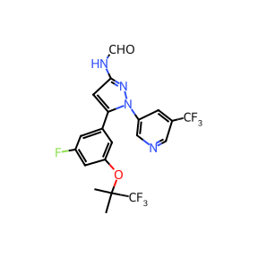 CC(C)(Oc1cc(F)cc(-c2cc(NC=O)nn2-c2cncc(C(F)(F)F)c2)c1)C(F)(F)F